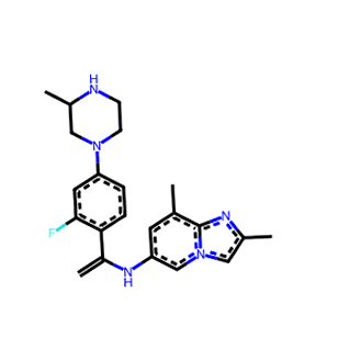 C=C(Nc1cc(C)c2nc(C)cn2c1)c1ccc(N2CCNC(C)C2)cc1F